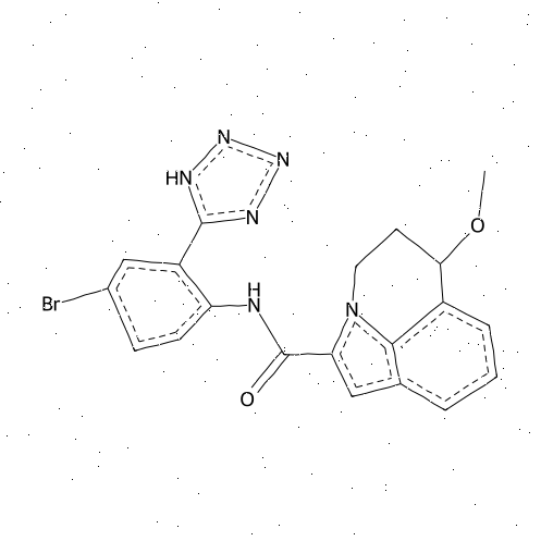 COC1CCn2c(C(=O)Nc3ccc(Br)cc3-c3nnn[nH]3)cc3cccc1c32